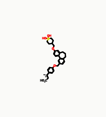 C[C@@H](CC(=O)O)c1ccc(OCc2ccc3c(c2)-c2ccc(OCC4CCS(O)(O)CC4)cc2CCC3)cc1